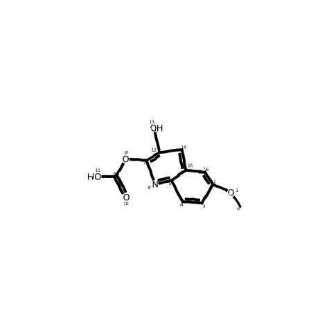 COc1ccc2nc(OC(=O)O)c(O)cc2c1